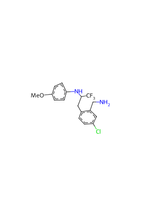 COc1ccc(NC(Cc2ccc(Cl)cc2CN)C(F)(F)F)cc1